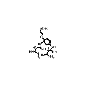 CCCCCCCCCCCCOc1ccc(NC(=N)NC(=N)N)cc1NC(=N)NC(=N)N